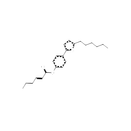 CCCC=CC(=O)Oc1ccc(-c2ccc(CCCCCC)s2)cc1